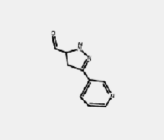 O=CC1CC(c2cccnc2)=NN1